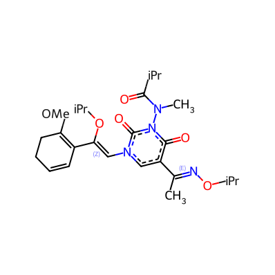 COC1=C(/C(=C/n2cc(/C(C)=N/OC(C)C)c(=O)n(N(C)C(=O)C(C)C)c2=O)OC(C)C)C=CCC1